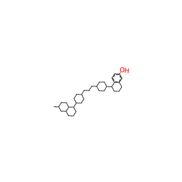 CC1CCC2C(CCCC2C2CCC(CCCC3CCC(C4CCCc5cc(O)ccc54)CC3)CC2)C1